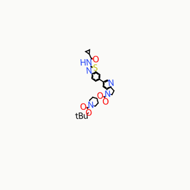 CC(C)(C)OC(=O)N1CCC(OC(=O)N2CCc3ncc(-c4ccc5nc(NC(=O)C6CC6)sc5c4)cc32)CC1